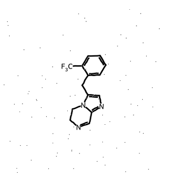 FC(F)(F)c1ccccc1Cc1cnc2n1CCN=C2